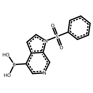 O=S(=O)(c1ccccc1)n1ccc2c(B(O)O)cncc21